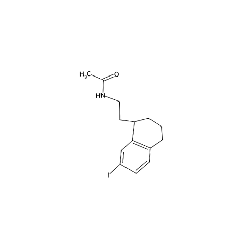 CC(=O)NCCC1CCCc2ccc(I)cc21